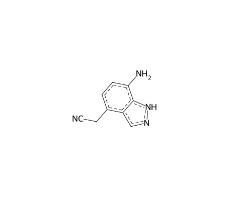 N#CCc1ccc(N)c2[nH]ncc12